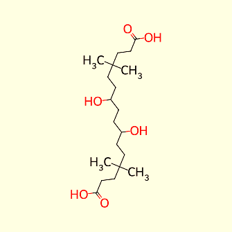 CC(C)(CCC(=O)O)CCC(O)CCC(O)CCC(C)(C)CCC(=O)O